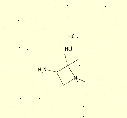 CN1CC(N)C1(C)C.Cl.Cl